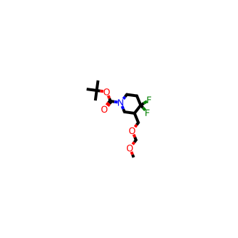 COCOCC1CN(C(=O)OC(C)(C)C)CCC1(F)F